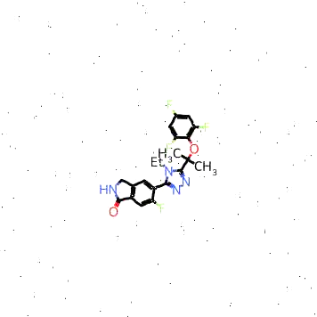 CCn1c(-c2cc3c(cc2F)C(=O)NC3)nnc1C(C)(C)Oc1c(F)cc(F)cc1F